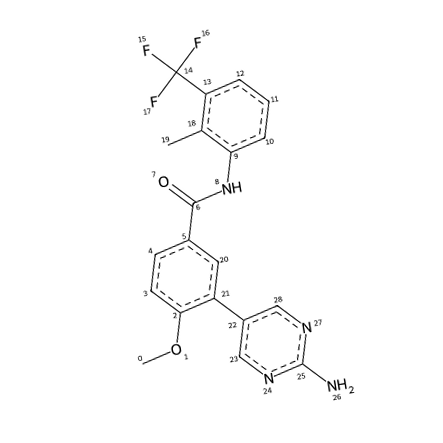 COc1ccc(C(=O)Nc2cccc(C(F)(F)F)c2C)cc1-c1cnc(N)nc1